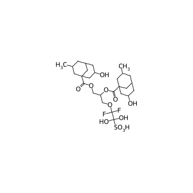 CC1CC2CC(O)CC(C(=O)OCC(COC(F)(F)C(O)(O)S(=O)(=O)O)OC(=O)C34CC(C)CC(CC(O)C3)C4)(C1)C2